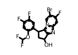 OC1CC(c2cc(F)c(F)cc2OC(F)F)c2c1nc1cc(F)c(Br)cn21